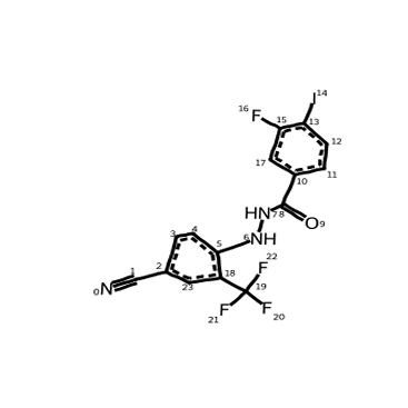 N#Cc1ccc(NNC(=O)c2ccc(I)c(F)c2)c(C(F)(F)F)c1